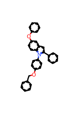 c1ccc(COc2ccc(-n3c(-c4ccccc4)cc4cc(Oc5ccccc5)ccc43)cc2)cc1